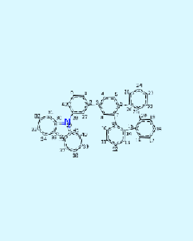 c1cc(-c2ccc3c(c2)-c2ccccc2-c2ccccc2-c2ccccc2-3)cc(-n2c3ccccc3c3ccccc32)c1